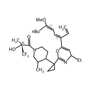 C=C/C(=C\C=C(/CCCC)OC)C1=CC(CC)N=C(C2(C3CCN(C(=O)[C@@](C)(O)C(F)(F)F)CC3C)CC2)O1